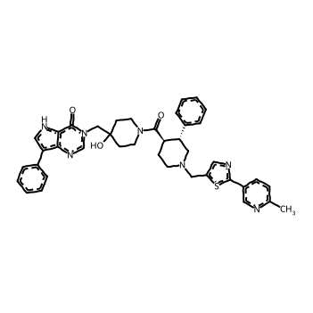 Cc1ccc(-c2ncc(CN3CC[C@@H](C(=O)N4CCC(O)(Cn5cnc6c(-c7ccccc7)c[nH]c6c5=O)CC4)[C@H](c4ccccc4)C3)s2)cn1